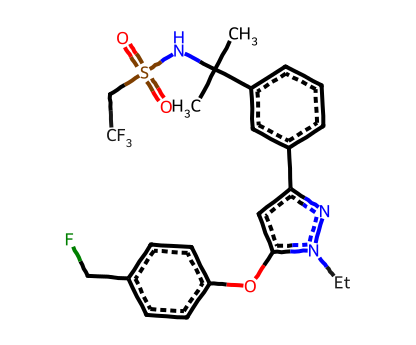 CCn1nc(-c2cccc(C(C)(C)NS(=O)(=O)CC(F)(F)F)c2)cc1Oc1ccc(CF)cc1